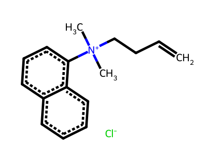 C=CCC[N+](C)(C)c1cccc2ccccc12.[Cl-]